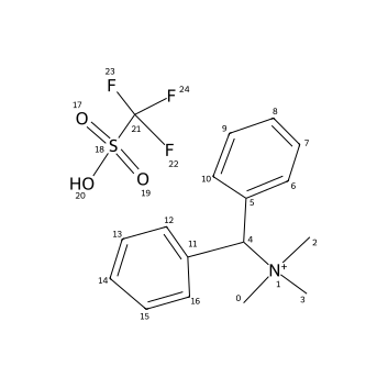 C[N+](C)(C)C(c1ccccc1)c1ccccc1.O=S(=O)(O)C(F)(F)F